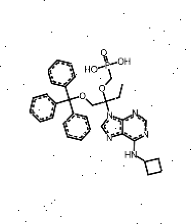 CCC(COC(c1ccccc1)(c1ccccc1)c1ccccc1)(OCP(=O)(O)O)n1cnc2c(NC3CCC3)ncnc21